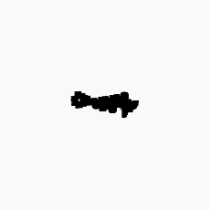 O=C(c1cc(F)cc(F)c1)N1CCN(c2ccc(OCCCN3CCCCCC3)cc2)C(=O)C1